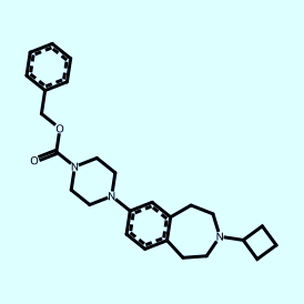 O=C(OCc1ccccc1)N1CCN(c2ccc3c(c2)CCN(C2CCC2)CC3)CC1